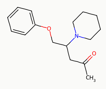 CC(=O)CC(COc1ccccc1)N1CCCCC1